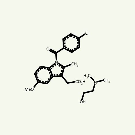 CN(C)CCO.COc1ccc2c(c1)c(CC(=O)O)c(C)n2C(=O)c1ccc(Cl)cc1